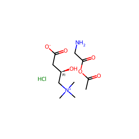 CC(=O)OC(=O)CN.C[N+](C)(C)C[C@H](O)CC(=O)[O-].Cl